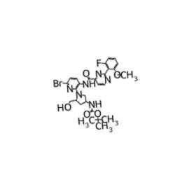 COc1cccc(F)c1-c1nccc(C(=O)Nc2ccc(Br)nc2N2CC(NC(=O)OC(C)(C)C)CC2CO)n1